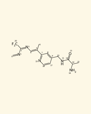 C=N/C(=N\C=C(/C)c1cc(CNC(=O)C(C)N)ccn1)C(F)(F)F